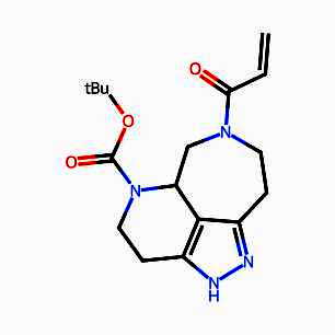 C=CC(=O)N1CCc2n[nH]c3c2C(C1)N(C(=O)OC(C)(C)C)CC3